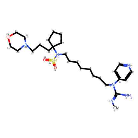 N#CN=C(N)N(CCCCCCCCN([SH](=O)=O)C1(CCCN2CCOCC2)CCCC1)c1ccncc1